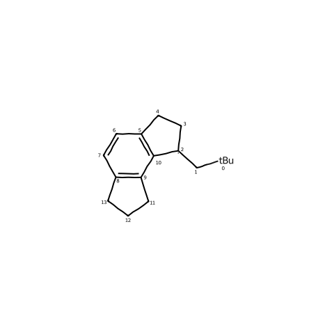 CC(C)(C)C[C]1CCc2ccc3c(c21)CCC3